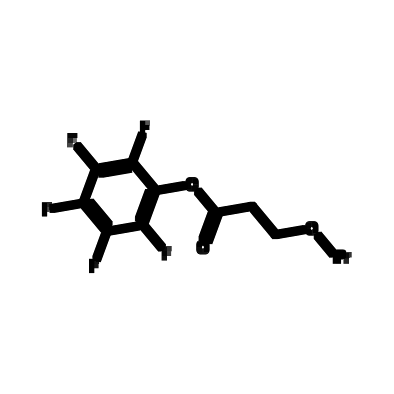 CC(C)OCCC(=O)Oc1c(F)c(F)c(F)c(F)c1F